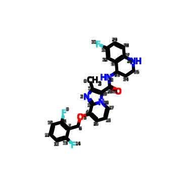 Cc1nc2c(OCc3c(F)cccc3F)cccn2c1C(=O)NC1CCNc2ccc(F)cc21